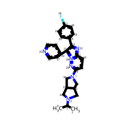 CC(C)N1CC2CN(c3ccc4nc(-c5ccc(F)cc5)c(-c5ccncc5)n4n3)CC2C1